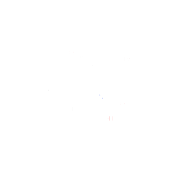 CCOC1=c2c(cc(Br)cc2=C=O)N(C(=O)O)C1C